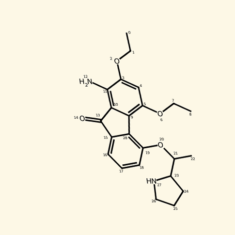 CCOc1cc(OCC)c2c(c1N)C(=O)c1cccc(OC(C)C3CCCN3)c1-2